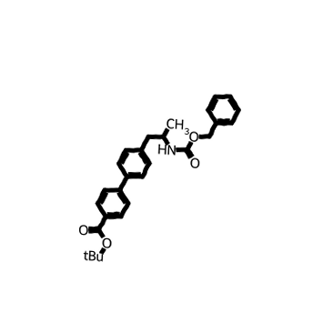 CC(Cc1ccc(-c2ccc(C(=O)OC(C)(C)C)cc2)cc1)NC(=O)OCc1ccccc1